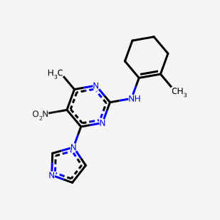 CC1=C(Nc2nc(C)c([N+](=O)[O-])c(-n3ccnc3)n2)CCCC1